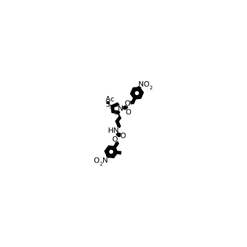 CC(=O)S[C@H]1C[C@H](CCCNC(=O)OCc2ccc([N+](=O)[O-])cc2C)N(C(=O)OCc2ccc([N+](=O)[O-])cc2)C1